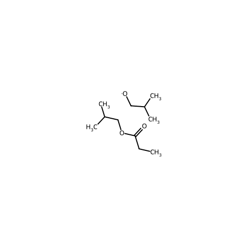 CC(C)C[O].CCC(=O)OCC(C)C